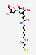 O=C(CCS)NCCCCCCNC(O)/C=C/C1CN([C@H]2CC(O)[C@@H](CO)O2)C(=O)N[C@H]1O